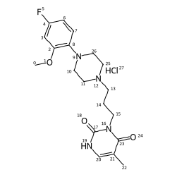 COc1cc(F)ccc1N1CCN(CCCn2c(=O)[nH]cc(C)c2=O)CC1.Cl